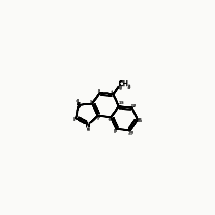 Cc1cc2scnc2c2ccccc12